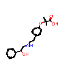 CC(C)(Oc1ccc(CCNC[C@H](O)c2ccccc2)cc1)C(=O)O